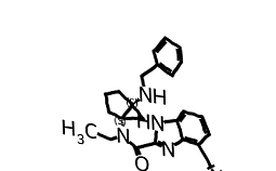 CCN(C(=O)c1nc2c(C#N)cccc2[nH]1)[C@]12CCC[C@]1(NCc1ccccc1)C2